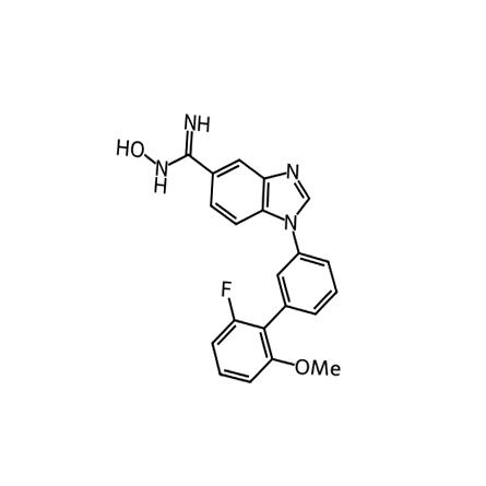 COc1cccc(F)c1-c1cccc(-n2cnc3cc(C(=N)NO)ccc32)c1